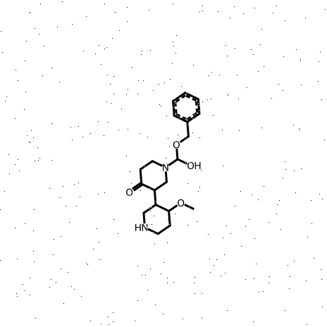 COC1CCNCC1C1CN(C(O)OCc2ccccc2)CCC1=O